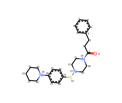 O=C(CCc1ccccc1)N1CCN(Sc2ccc(N3CCCCC3)cc2)CC1